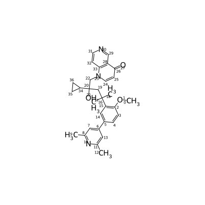 COc1ccc(-c2cc(C)nc(C)c2)cc1C(C)(C)CC(O)(Cn1ccc(=O)c2cnccc21)C1CC1